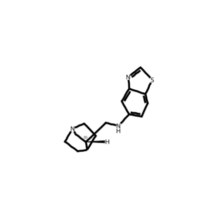 c1nc2cc(NC[C@H]3CN4CCC3CC4)ccc2s1